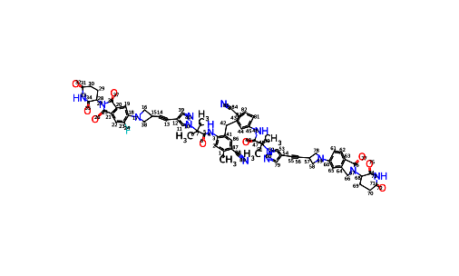 Cc1cc(NC(=O)C(C)(C)n2cc(C#CC3CN(c4cc5c(cc4F)C(=O)N(C4CCC(=O)NC4=O)C5=O)C3)cn2)c(Cc2cc(NC(=O)C(C)(C)n3cc(C#CC4CN(c5ccc6c(c5)CN(C5CCC(=O)NC5=O)C6=O)C4)cn3)ccc2C#N)cc1C#N